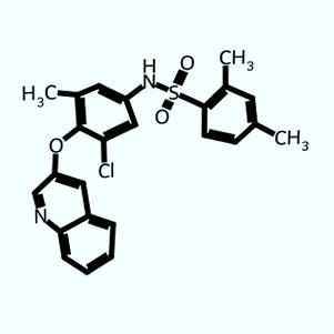 Cc1ccc(S(=O)(=O)Nc2cc(C)c(Oc3cnc4ccccc4c3)c(Cl)c2)c(C)c1